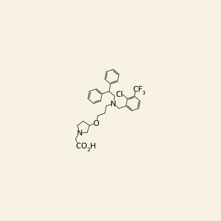 O=C(O)CN1CCC(OCCCN(Cc2cccc(C(F)(F)F)c2Cl)CC(c2ccccc2)c2ccccc2)C1